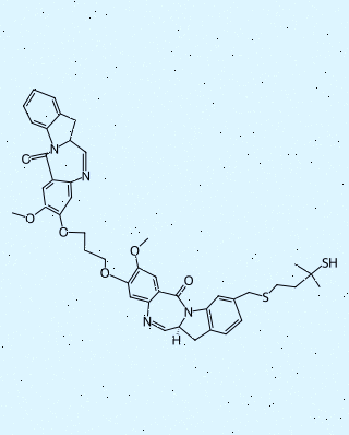 COc1cc2c(cc1OCCCOc1cc3c(cc1OC)C(=O)N1c4cc(CSCCC(C)(C)S)ccc4C[C@H]1C=N3)N=CC1Cc3ccccc3N1C2=O